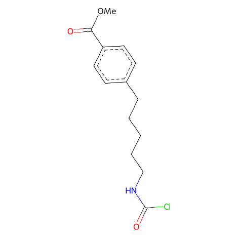 COC(=O)c1ccc(CCCCCNC(=O)Cl)cc1